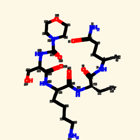 CC(=O)C(CCC(N)=O)NC(=O)[C@H](CC(C)C)NC(=O)C(CCCCN)NC(=O)C(CO)NC(=O)N1CCOCC1